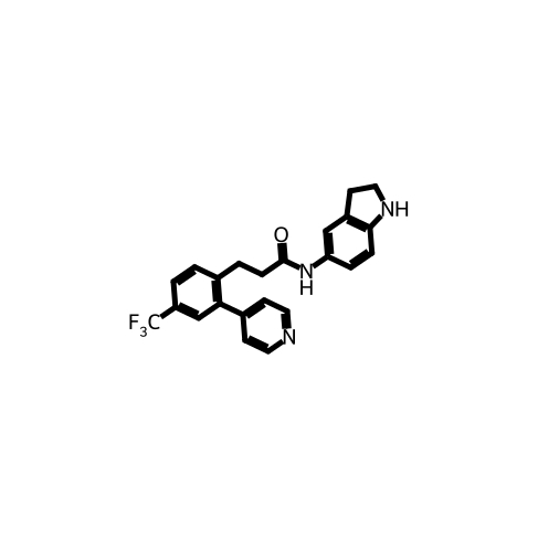 O=C(CCc1ccc(C(F)(F)F)cc1-c1ccncc1)Nc1ccc2c(c1)CCN2